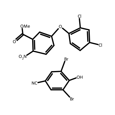 COC(=O)c1cc(Oc2ccc(Cl)cc2Cl)ccc1[N+](=O)[O-].N#Cc1cc(Br)c(O)c(Br)c1